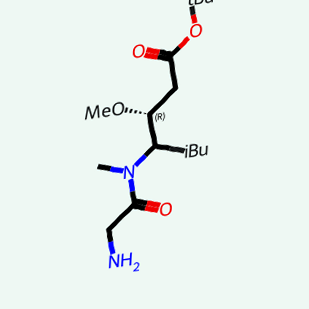 CCC(C)C([C@@H](CC(=O)OC(C)(C)C)OC)N(C)C(=O)CN